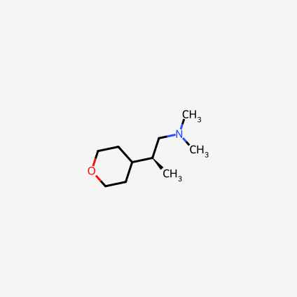 C[C@H](CN(C)C)C1CCOCC1